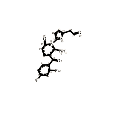 Nc1c(C(=O)c2ccc(F)cc2F)ccc(=O)n1-c1ccc(CC=O)s1